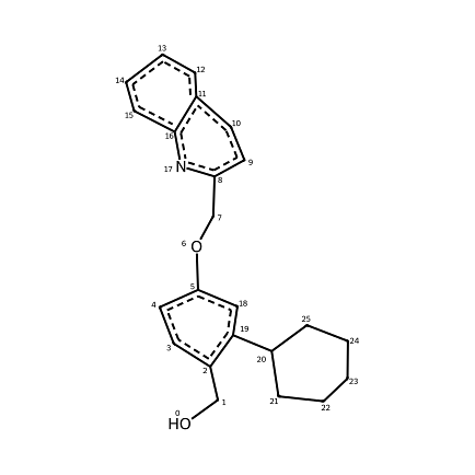 OCc1ccc(OCc2ccc3ccccc3n2)cc1C1CCCCC1